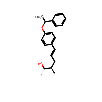 CCOC(=O)C(Oc1ccc(/C=C/C[C@@H](C)[C@H](C)O)cc1)c1ccccc1